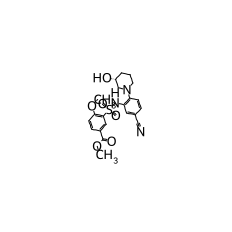 COC(=O)c1ccc(OC)c(S(=O)(=O)Nc2cc(C#N)ccc2N2CCC[C@@H](O)C2)c1